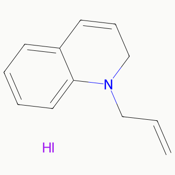 C=CCN1CC=Cc2ccccc21.I